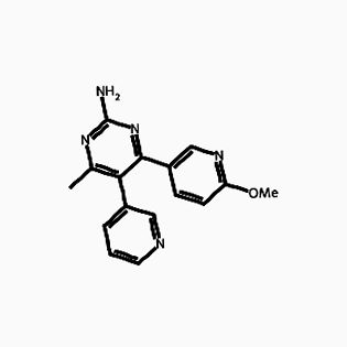 COc1ccc(-c2nc(N)nc(C)c2-c2cccnc2)cn1